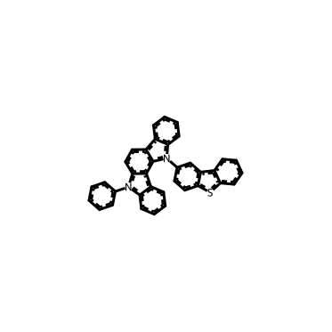 c1ccc(-n2c3ccccc3c3c2ccc2c4ccccc4n(-c4ccc5sc6ccccc6c5c4)c23)cc1